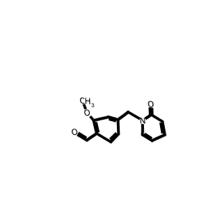 COc1cc(Cn2ccccc2=O)ccc1C=O